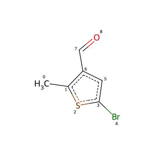 Cc1sc(Br)cc1C=O